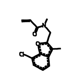 C=CC(=O)N(C)Cc1oc2c(Cl)cccc2c1C